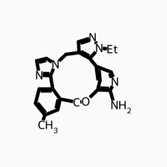 CCn1ncc2c1-c1cnc(N)c(c1)OCc1cc(C)ccc1-c1nccn1C2